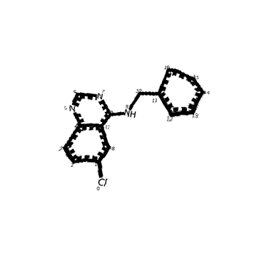 Clc1ccc2ncnc(NCc3ccccc3)c2c1